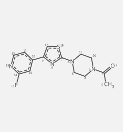 CC(=O)N1CCN(c2nc(-c3ccnc(F)c3)cs2)CC1